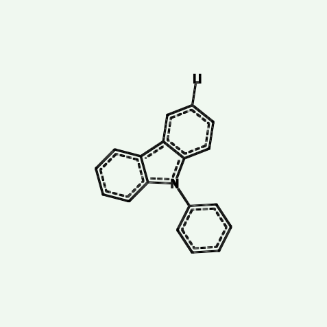 [Li][c]1ccc2c(c1)c1ccccc1n2-c1ccccc1